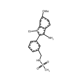 CCn1c(-c2cccc(CNS(C)(=O)=O)c2)c(N)c2ccc(OC)cc21